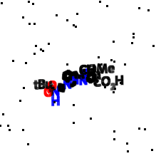 COc1cc(C(=O)O)cc2nc(-c3cc4cccc5c4n3CCN5C3CC(NC(=O)OC(C)(C)C)C3)n(C)c12